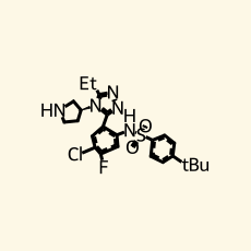 CCc1nnc(-c2cc(Cl)c(F)cc2NS(=O)(=O)c2ccc(C(C)(C)C)cc2)n1[C@H]1CCNC1